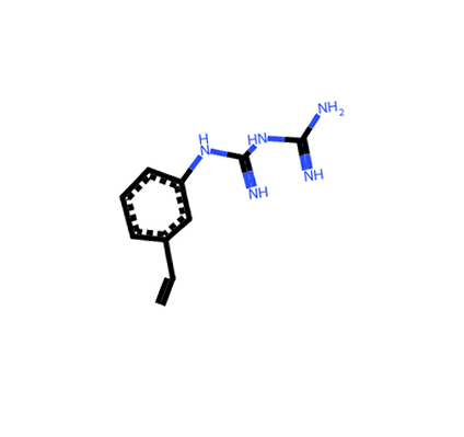 C=Cc1cccc(NC(=N)NC(=N)N)c1